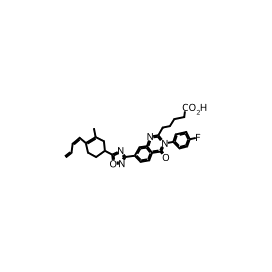 C=C/C=C\C1=C(C)CC(c2nc(-c3ccc4c(=O)n(-c5ccc(F)cc5)c(CCCCC(=O)O)nc4c3)no2)CC1